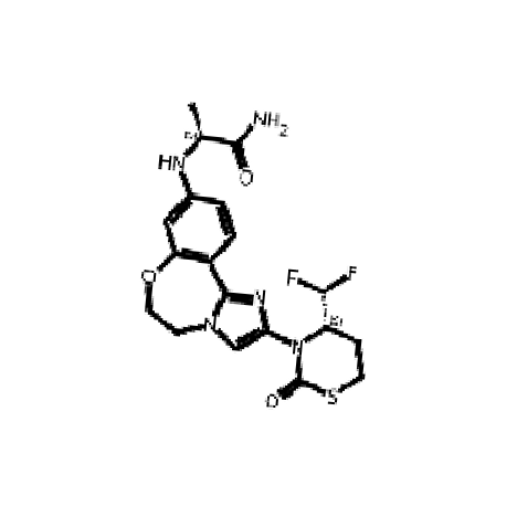 C[C@H](Nc1ccc2c(c1)OCCn1cc(N3C(=O)SCC[C@H]3C(F)F)nc1-2)C(N)=O